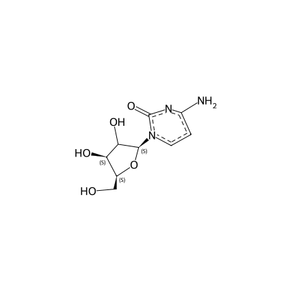 Nc1ccn([C@H]2O[C@@H](CO)[C@@H](O)C2O)c(=O)n1